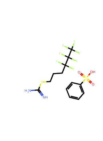 N=C(N)SCCCC(F)(F)C(F)(F)C(F)(F)F.O=S(=O)(O)c1ccccc1